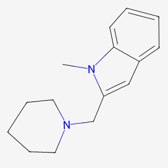 Cn1c(CN2CCCCC2)cc2ccccc21